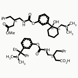 CCC(c1cccc(OC(=O)NC[C@H](CC(=O)O)CC(C)C)c1)(C(C)C)N(C)C.COC(=O)C[C@H](CNC(=O)Oc1cccc([C@@]2(O)CCCC[C@@H]2CN(C)C)c1)CC(C)C